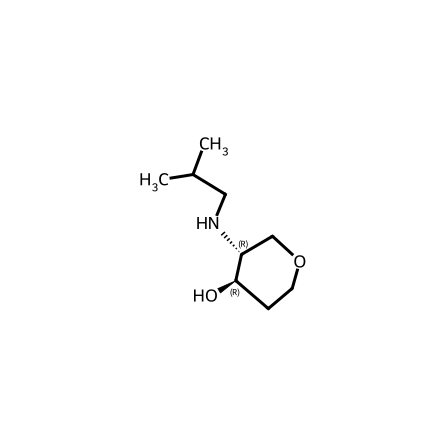 CC(C)CN[C@@H]1COCC[C@H]1O